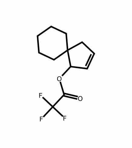 O=C(OC1C=CCC12CCCCC2)C(F)(F)F